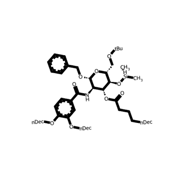 CCCCCCCCCCCCCC(=O)O[C@@H]1[C@@H](NC(=O)c2ccc(OCCCCCCCCCC)c(OCCCCCCCCCC)c2)[C@H](OCc2ccccc2)O[C@H](COC(C)(C)C)[C@H]1O[SiH](C)C